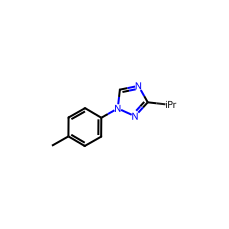 Cc1ccc(-n2cnc(C(C)C)n2)cc1